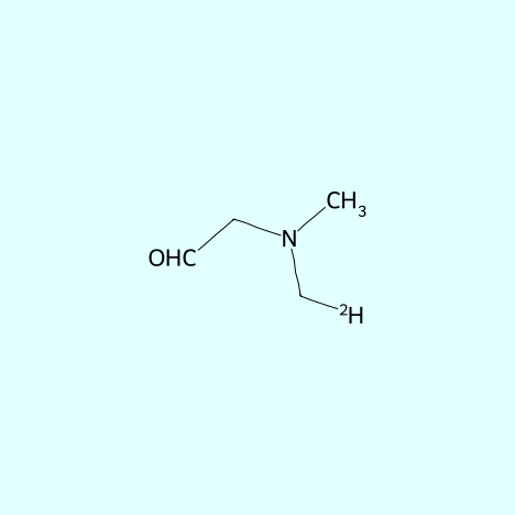 [2H]CN(C)C[13CH]=[18O]